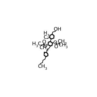 C=C(C)C(=O)Oc1cc(-c2ccc(CCO)cc2CC)c(OC(=O)C(=C)C)cc1CCc1ccc(CCCCC)cc1